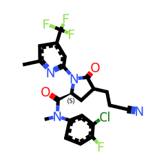 Cc1cc(C(F)(F)F)cc(N2C(=O)C(CCC#N)C[C@H]2C(=O)N(C)c2ccc(F)c(Cl)c2)n1